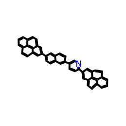 c1cc2ccc3cc(-c4ccc5cc(-c6ccc(-c7cc8ccc9cccc%10ccc(c7)c8c9%10)nc6)ccc5c4)cc4ccc(c1)c2c34